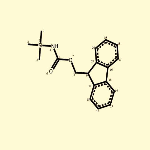 C[Si](C)(C)NC(=O)OCC1c2ccccc2-c2ccccc21